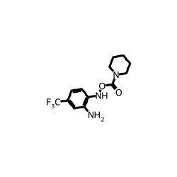 Nc1cc(C(F)(F)F)ccc1NOC(=O)N1CCCCC1